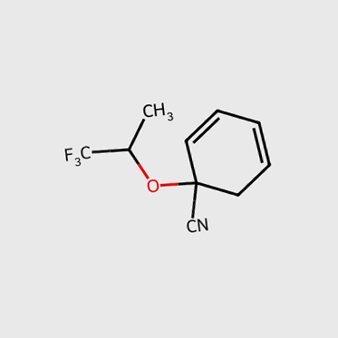 CC(OC1(C#N)C=CC=CC1)C(F)(F)F